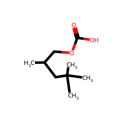 CC(COC(=O)O)CC(C)(C)C